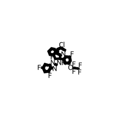 Fc1cc(OC(F)(F)C(F)F)cc(C(Cc2ccccc2)(Nc2nc3c(F)cc(F)cc3[nH]2)c2ccc(Cl)cn2)c1